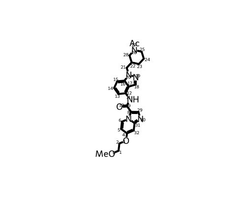 COCCOc1ccn2c(C(=O)Nc3cccc4c3cnn4CC3CCCN(C(C)=O)C3)cnc2c1